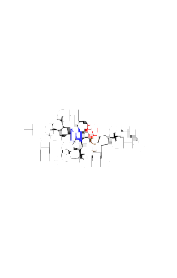 CC(C)(C)c1ccc2sc3c(c2c1)Oc1cccc2c1B3c1cc3c(cc1N2c1ccc2c(c1)C(C)(C)CCC2(C)C)C(C)(C)CCC3(C)C